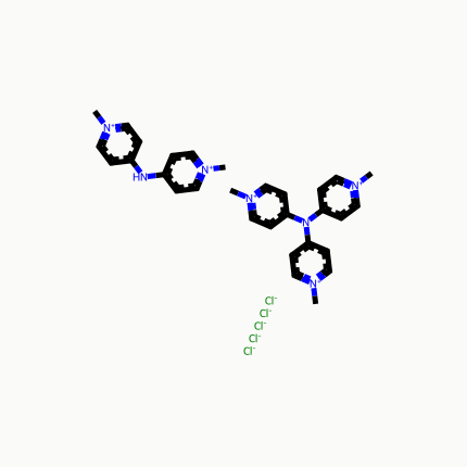 C[n+]1ccc(N(c2cc[n+](C)cc2)c2cc[n+](C)cc2)cc1.C[n+]1ccc(Nc2cc[n+](C)cc2)cc1.[Cl-].[Cl-].[Cl-].[Cl-].[Cl-]